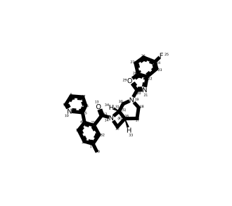 Cc1ccc(-c2ccccn2)c(C(=O)N2C[C@H]3CCN(c4nc5cc(F)ccc5o4)C[C@H]32)c1